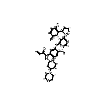 C=CC(=O)Nc1cc(Nc2cc(N3OCCC3c3cc(F)ccc3F)ncn2)c(OC)cc1N1CCC(N2CCOCC2)CC1